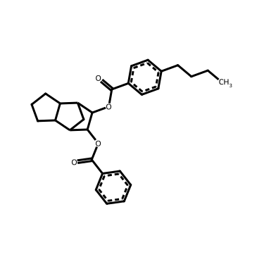 CCCCc1ccc(C(=O)OC2C3CC(C4CCCC43)C2OC(=O)c2ccccc2)cc1